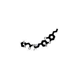 CCCc1ccc(Oc2ccc(/C=C/[C@H](C)NC(=O)Cc3nccs3)cn2)c(Cl)c1